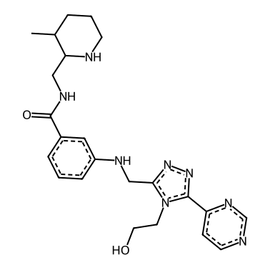 CC1CCCNC1CNC(=O)c1cccc(NCc2nnc(-c3ccncn3)n2CCO)c1